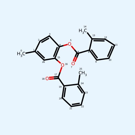 Cc1ccc(OC(=O)c2ccccc2C)c(OC(=O)c2ccccc2C)c1